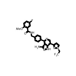 COc1ccc(F)cc1C(=O)NCc1ccc(-c2ncc(-c3ccn(CC(F)(F)F)n3)c3[nH]nc(N)c23)cc1